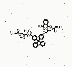 C=CC(=O)OCC(O)COC(CC)c1ccc(C2(c3ccc(OCC(COC(=O)C=C)OC(=O)C4CC=CCC4C(=O)O)cc3)c3ccccc3-c3ccccc32)cc1